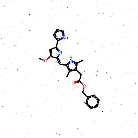 COC1=CC(c2ccc[nH]2)=N/C1=C\c1[nH]c(C)c(CC(=O)OCc2ccccc2)c1C